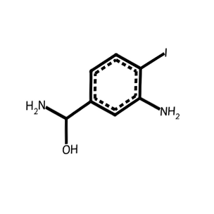 Nc1cc(C(N)O)ccc1I